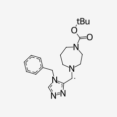 CC(C)(C)OC(=O)N1CCCN([CH]c2nncn2Cc2ccccc2)CC1